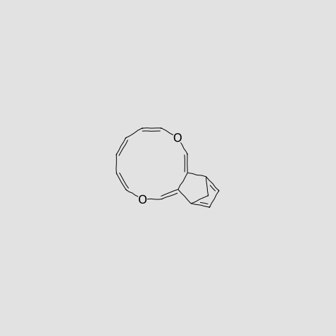 C1=C2CC(=C1)c1coccccccocc12